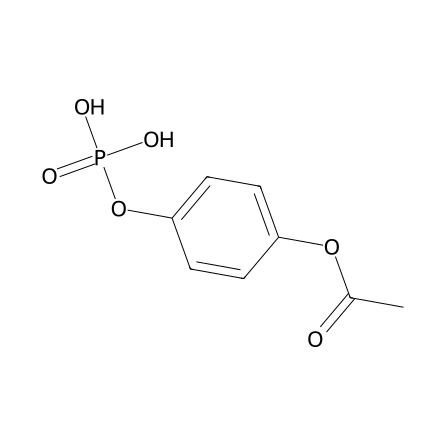 CC(=O)Oc1ccc(OP(=O)(O)O)cc1